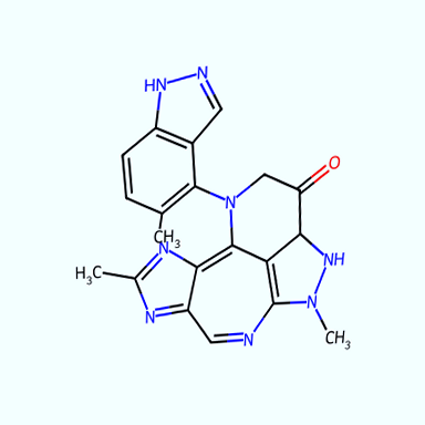 Cc1nc2cnc3c4c(c-2n1)N(c1c(C)ccc2[nH]ncc12)CC(=O)C4NN3C